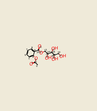 CC(=O)Oc1ccccc1C(=O)OC[C@H](O)[C@@H](O)[C@H](O)CO